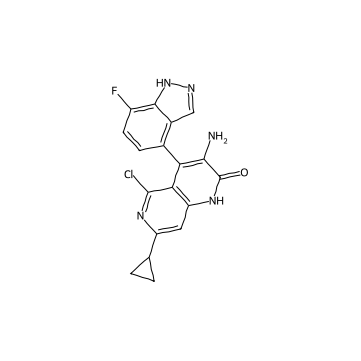 Nc1c(-c2ccc(F)c3[nH]ncc23)c2c(Cl)nc(C3CC3)cc2[nH]c1=O